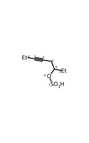 CCC#CCC(CC)OS(=O)(=O)O